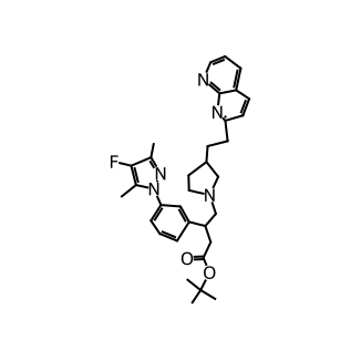 Cc1nn(-c2cccc(C(CC(=O)OC(C)(C)C)CN3CCC(CCc4ccc5cccnc5n4)C3)c2)c(C)c1F